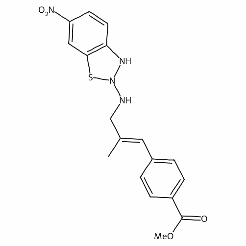 COC(=O)c1ccc(C=C(C)CNN2Nc3ccc([N+](=O)[O-])cc3S2)cc1